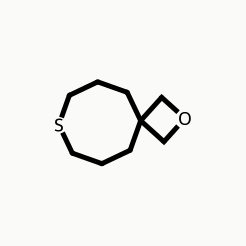 C1CSCCCC2(C1)COC2